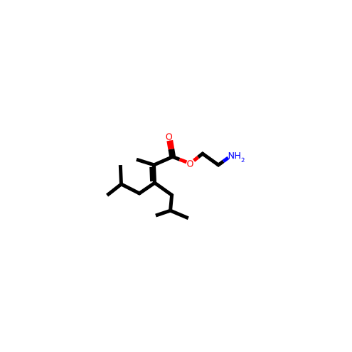 CC(C(=O)OCCN)=C(CC(C)C)CC(C)C